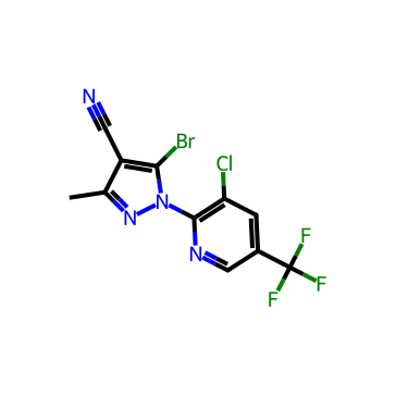 Cc1nn(-c2ncc(C(F)(F)F)cc2Cl)c(Br)c1C#N